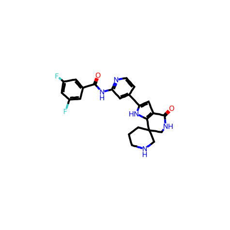 O=C(Nc1cc(-c2cc3c([nH]2)C2(CCCNC2)CNC3=O)ccn1)c1cc(F)cc(F)c1